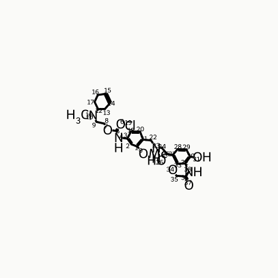 COc1cc(NC(=O)OCCN(C)C2CC#CCC2)c(Cl)cc1CNC[C@H](O)c1ccc(O)c2c1OCC(=O)N2